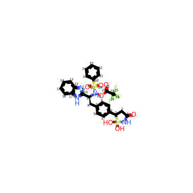 O=C1CC(c2ccc(C[C@@H](c3nc4ccccc4[nH]3)N(OC(=O)C(F)(F)F)S(=O)(=O)c3ccccc3)cc2)S(O)(O)N1